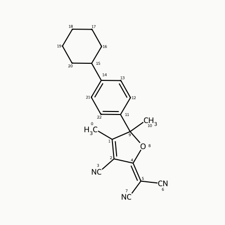 CC1=C(C#N)C(=C(C#N)C#N)OC1(C)c1ccc(C2CCCCC2)cc1